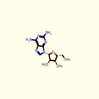 CC(=O)OC[C@H]1O[C@@H](n2cnc3c(N)nc(N)nc32)[C@H](OC(C)=O)[C@@H]1OC(C)=O